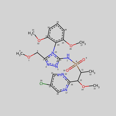 COCc1nnc(NS(=O)(=O)C(C)C(OC)c2ncc(Cl)cn2)n1-c1c(OC)cccc1OC